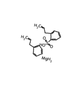 C=CCc1ccccc1.C=CCc1ccccc1S(=O)(=O)O.[MgH2]